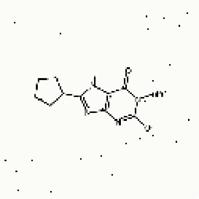 CCCn1c([O])nc2nc(C3CCCC3)[nH]c2c1=O